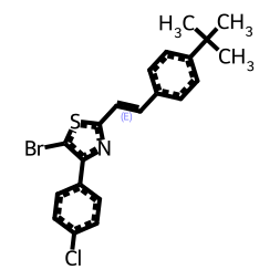 CC(C)(C)c1ccc(/C=C/c2nc(-c3ccc(Cl)cc3)c(Br)s2)cc1